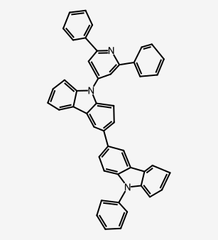 c1ccc(-c2cc(-n3c4ccccc4c4cc(-c5ccc6c(c5)c5ccccc5n6-c5ccccc5)ccc43)cc(-c3ccccc3)n2)cc1